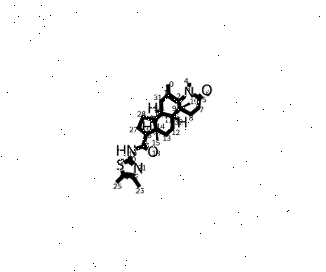 CC1=C2N(C)C(=O)CC[C@]2(C)[C@@H]2CC[C@]3(C)C(C(=O)Nc4nc(C)c(C)s4)CC[C@H]3[C@@H]2C1